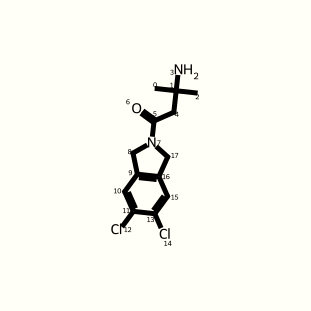 CC(C)(N)CC(=O)N1Cc2cc(Cl)c(Cl)cc2C1